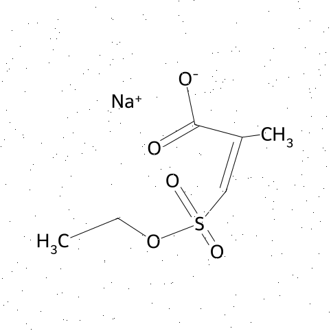 CCOS(=O)(=O)C=C(C)C(=O)[O-].[Na+]